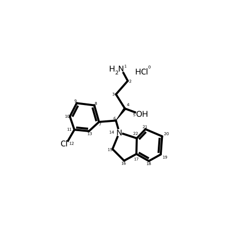 Cl.NCCC(O)[C@H](c1cccc(Cl)c1)N1CCc2ccccc21